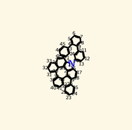 c1ccc(-c2ccccc2-c2cccc(-n3c4ccc(-c5ccccc5)c5c4c4c6c(cccc6ccc43)-c3ccccc3-5)c2)cc1